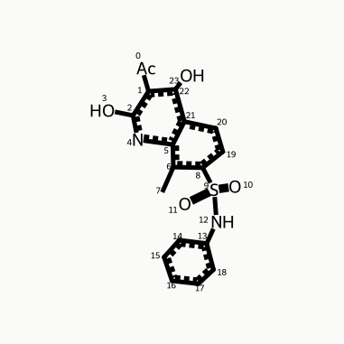 CC(=O)c1c(O)nc2c(C)c(S(=O)(=O)Nc3ccccc3)ccc2c1O